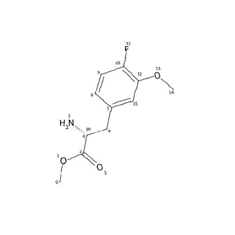 COC(=O)[C@H](N)Cc1ccc(F)c(OC)c1